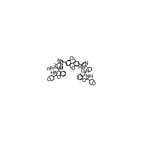 CCCN(C(=O)[C@H](NC(=O)C1CCOCC1)c1ccccc1)[C@@H](C)c1ncc(-c2cc3c4c(c2)OCc2cc(-c5cnc([C@@H]6CCCN6C(=O)[C@H](NC(=O)C6CCOCC6)c6ccccc6)[nH]5)cc(c2-4)OC3)[nH]1